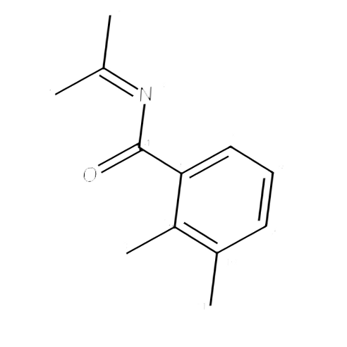 CC(C)=NC(=O)c1cccc(C)c1C